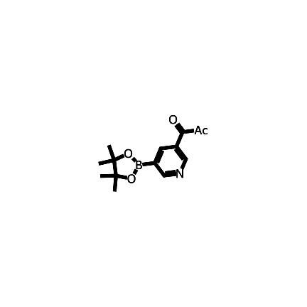 CC(=O)C(=O)c1cncc(B2OC(C)(C)C(C)(C)O2)c1